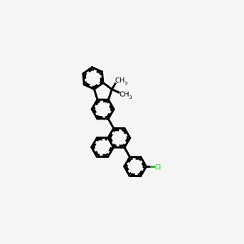 CC1(C)c2ccccc2-c2ccc(-c3ccc(-c4cccc(Cl)c4)c4ccccc34)cc21